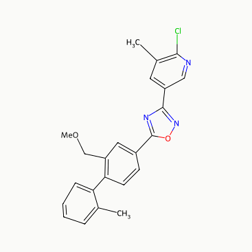 COCc1cc(-c2nc(-c3cnc(Cl)c(C)c3)no2)ccc1-c1ccccc1C